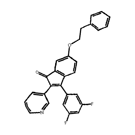 O=C1C(c2cccnc2)=C(c2cc(F)cc(F)c2)c2ccc(OCCc3ccccc3)cc21